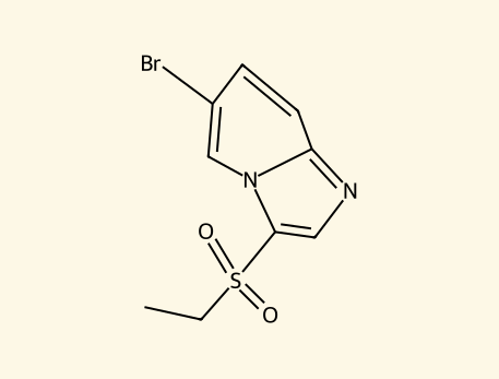 CCS(=O)(=O)c1cnc2ccc(Br)cn12